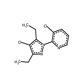 CCc1nn(-c2ncccc2Cl)c(CC)c1Cl